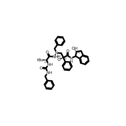 CC(C)(C)[C@H](NC(=O)NCc1ccccc1)C(=O)NN(Cc1ccccc1)C[C@](O)(C(=O)NC1c2ccccc2C[C@H]1O)c1ccccc1